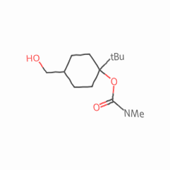 CNC(=O)OC1(C(C)(C)C)CCC(CO)CC1